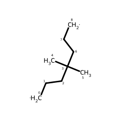 [CH2]CCC(C)(C)CC[CH2]